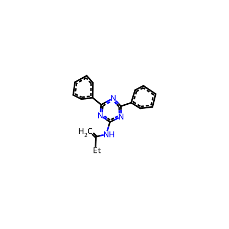 C=C(CC)Nc1nc(-c2ccccc2)nc(-c2ccccc2)n1